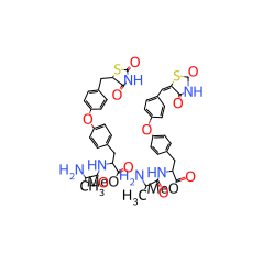 COC(=O)C(Cc1ccc(Oc2ccc(C=C3SC(=O)NC3=O)cc2)cc1)NC(=O)C(C)N.COC(=O)C(Cc1ccc(Oc2ccc(CC3SC(=O)NC3=O)cc2)cc1)NC(=O)C(C)N